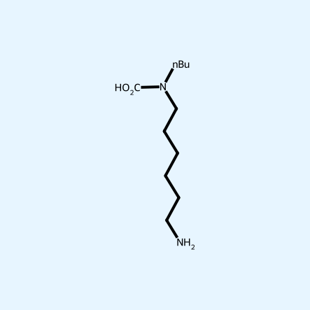 CCCCN(CCCCCCN)C(=O)O